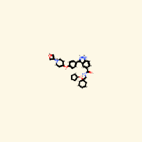 O=C(NCC1(OC2CCCC2)CCCCC1)c1ccc2[nH]nc(-c3ccc(OC4CCN(C5COC5)CC4)cc3)c2c1